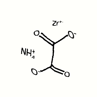 O=C([O-])C(=O)[O-].[NH4+].[Zr+]